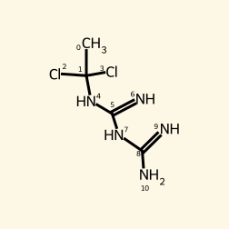 CC(Cl)(Cl)NC(=N)NC(=N)N